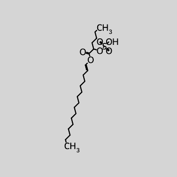 CCCCCCCCCCCCCCC=COC(=O)C(CCCC)OS(=O)(=O)O